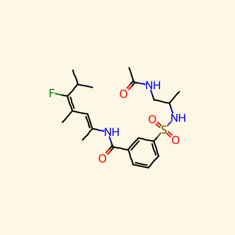 CC(=O)NCC(C)NS(=O)(=O)c1cccc(C(=O)N/C(C)=C/C(C)=C(/F)C(C)C)c1